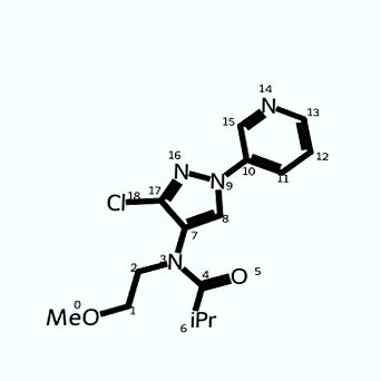 COCCN(C(=O)C(C)C)c1cn(-c2cccnc2)nc1Cl